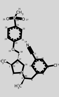 C[C@@H]1CN([C@H](C)Cc2cc(Cl)cc(C#N)c2)C[C@H]1COc1ccc(S(C)(=O)=O)cc1